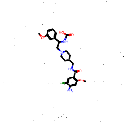 COc1cccc(C(CN2CCC(CNC(=O)c3cc(Cl)c(N)cc3OC)CC2)NC(=O)O)c1